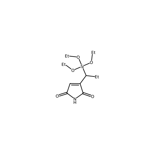 CCO[Si](OCC)(OCC)C(CC)C1=CC(=O)NC1=O